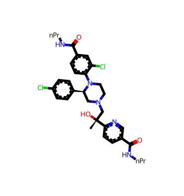 CCCNC(=O)c1ccc([C@](C)(O)CN2CCN(c3ccc(C(=O)NCCC)cc3Cl)[C@H](c3ccc(Cl)cc3)C2)nc1